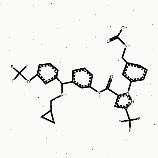 O=C(O)NCc1cccc(-n2nc(C(F)(F)F)cc2C(=O)Nc2cccc(C(NCC3CC3)c3cccc(OC(F)(F)F)c3)c2)c1